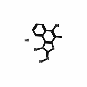 CC/N=c1/sc2c(C)c(O)c3ccccc3c2n1CC.Cl